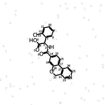 O=C(N[C@@H](C(=O)O)c1ccccc1Cl)c1ccc2c(c1)OCc1cnccc1-2